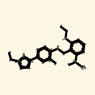 CCOc1cccc(N(C)N)c1COc1ccc(-c2ccn(CC)n2)cc1C